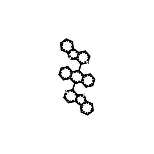 c1ccc2c(c1)oc1c(-c3c4ccccc4c(-c4nccc5c4sc4ccccc45)c4ccccc34)nccc12